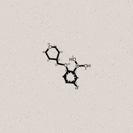 OB(O)c1cc(F)ccc1OCC1CCOCC1